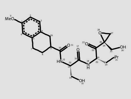 COc1ccc2c(c1)CCC(C(=O)N[C@@H](CO)C(=O)N[C@@H](CC(C)C)C(=O)[C@@]1(CO)CO1)C2